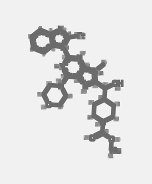 CCc1nc2ccccc2n1-c1nc(N2CCOCC2)c2nc(C(O)C3CCN(C(=O)OC(C)(C)C)CC3)n(C)c2n1